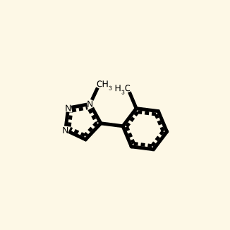 Cc1ccccc1-c1cnnn1C